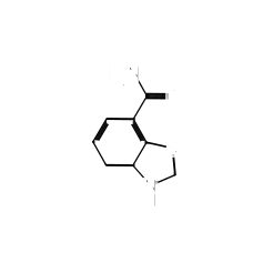 NC(=O)C1=C2SCNC2CC=C1